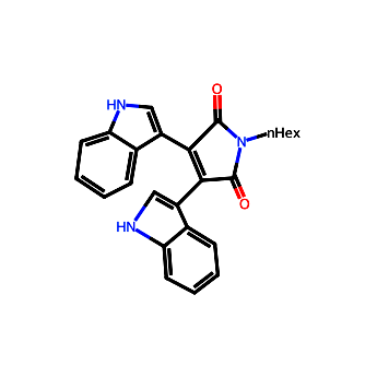 CCCCCCN1C(=O)C(c2c[nH]c3ccccc23)=C(c2c[nH]c3ccccc23)C1=O